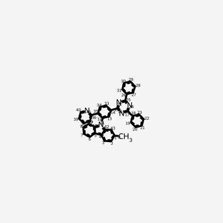 Cc1ccc2c3ccccc3n(-c3cc(-c4nc(-c5ccccc5)nc(-c5ccccc5)n4)ccc3-c3ccccn3)c2c1